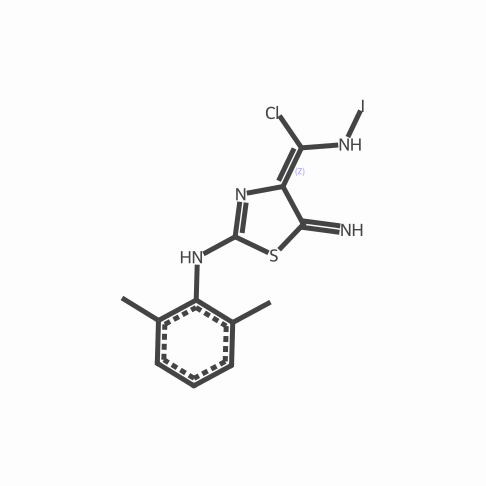 Cc1cccc(C)c1NC1=N/C(=C(\Cl)NI)C(=N)S1